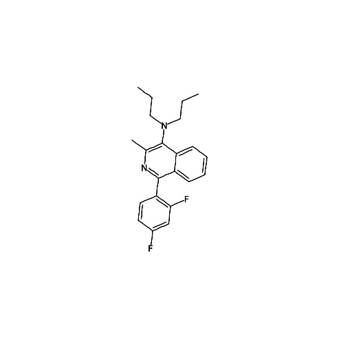 CCCN(CCC)c1c(C)nc(-c2ccc(F)cc2F)c2ccccc12